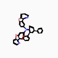 c1ccc(-c2ccc(N(c3ccc4c(c3)oc3cccnc34)c3ccc4oc5cccnc5c4c3)c(-c3ccccc3)c2)cc1